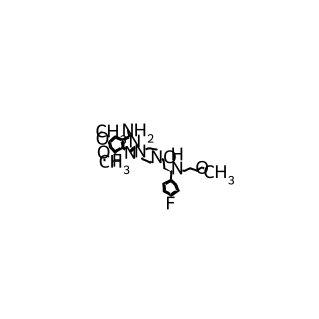 COCCCN[C@H](CC(=O)N1CCN(c2nc(N)c3cc(OC)c(OC)c(F)c3n2)CC1)c1ccc(F)cc1